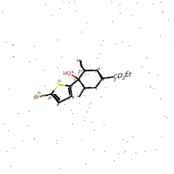 CCOC(=O)C1CC(C)C(O)(c2ccc(Br)s2)C(C)C1